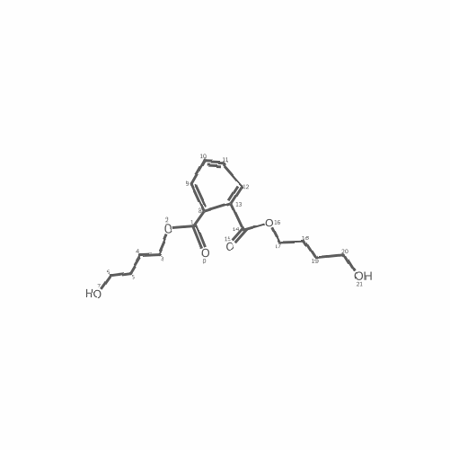 O=C(OCCCCO)c1ccccc1C(=O)OCCCCO